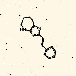 C(=Cc1nc2c(s1)NCCCC2)c1ccccc1